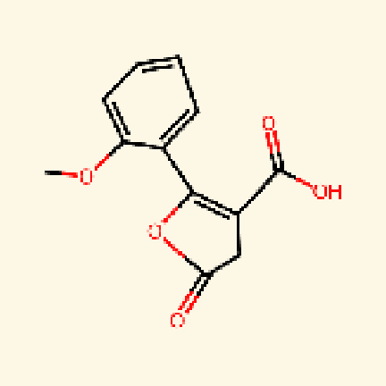 COc1ccccc1C1=C(C(=O)O)CC(=O)O1